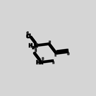 C=CC[SiH2]Cl.CNC